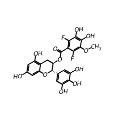 COc1c(O)c(O)c(F)c(C(=O)O[C@@H]2Cc3c(O)cc(O)cc3O[C@H]2c2cc(O)c(O)c(O)c2)c1F